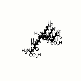 NCCCC[C@H](N)C(=O)O.NCCCC[C@H](N)C(=O)O.NCCCC[C@H](N)C(=O)O.NCCCC[C@H](N)C(=O)OC[C@H](N)C(=O)O